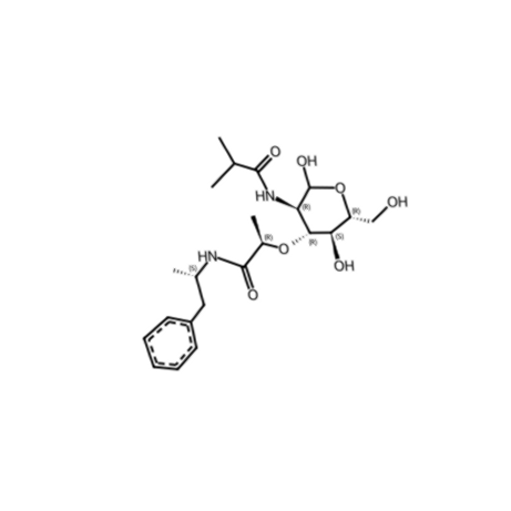 CC(C)C(=O)N[C@H]1C(O)O[C@H](CO)[C@@H](O)[C@@H]1O[C@H](C)C(=O)N[C@@H](C)Cc1ccccc1